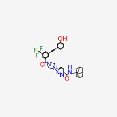 O=C(NCC12CC3CC(CC(C3)C1)C2)c1ccc(N2CCN(C(=O)c3cc(C#Cc4cccc(O)c4)cc(C(F)(F)F)c3)CC2)nn1